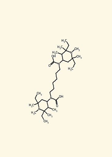 CCC1(C)CC(N(CCCCCCN(C(=O)O)C2CC(C)(CC)N(C)C(C)(CC)C2C)C(=O)O)C(C)C(C)(CC)N1C